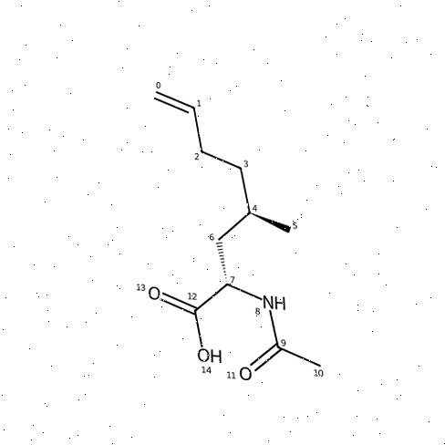 C=CCC[C@@H](C)C[C@H](NC(C)=O)C(=O)O